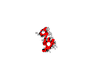 COc1cc2cc(c1Cl)N(C)C(=O)C[C@H](OC(=O)[C@H](C)N(C)C(=O)CCSSCCC(=O)N[C@H](Cc1ccccc1)C(=O)N[C@H]1CSSC[C@@H](C(=O)N[C@@H](Cc3c[nH]c4ccccc34)C(N)=O)NC(=O)[C@H](C(C)C)NC(=O)[C@H](CCCCN)NC(=O)[C@@H](Cc3c[nH]c4ccccc34)NC(=O)[C@H](Cc3ccc(O)cc3)NC1=O)[C@]1(C)O[C@H]1[C@H](C)[C@@H](OC(N)=O)CC(O)[C@H](OC)/C=C/C=C(\C)C2